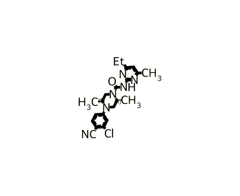 CCc1cc(C)nc(NC(=O)N2C[C@H](C)N(c3ccc(C#N)c(Cl)c3)C[C@H]2C)n1